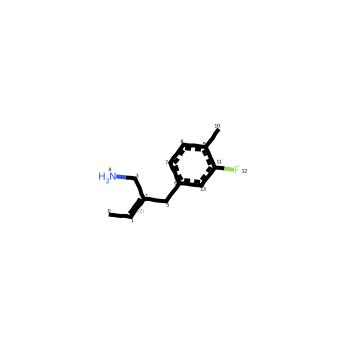 C/C=C(\CN)Cc1ccc(C)c(F)c1